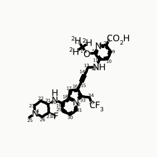 [2H]C([2H])([2H])Oc1nc(C(=O)O)ccc1NCC#Cc1cc2c(N[C@@H]3CCN(C)C[C@@H]3F)cccn2c1CC(F)(F)F